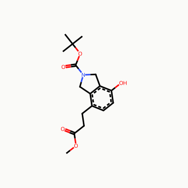 COC(=O)CCc1ccc(O)c2c1CN(C(=O)OC(C)(C)C)C2